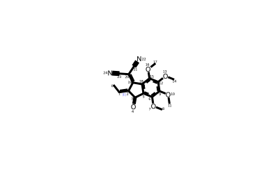 C/C=C1/C(=O)c2c(OC)c(OC)c(OC)c(OC)c2C1=C(C#N)C#N